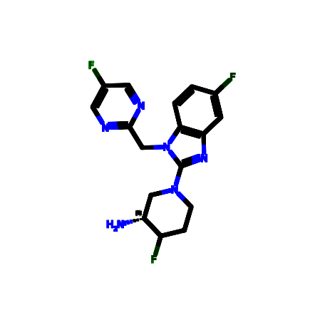 N[C@@H]1CN(c2nc3cc(F)ccc3n2Cc2ncc(F)cn2)CCC1F